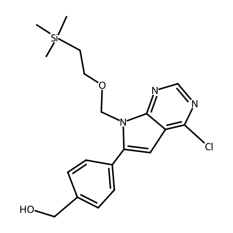 C[Si](C)(C)CCOCn1c(-c2ccc(CO)cc2)cc2c(Cl)ncnc21